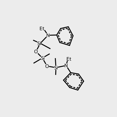 CCN(c1ccccc1)[Si](C)(C)O[Si](C)(C)O[Si](C)(C)N(CC)c1ccccc1